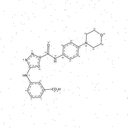 O=C(O)c1cccc(Nc2nnc(C(=O)Nc3ccc(N4CCOCC4)cc3)o2)c1